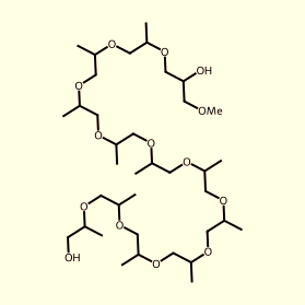 COCC(O)COC(C)COC(C)COC(C)COC(C)COC(C)COC(C)COC(C)COC(C)COC(C)COC(C)COC(C)CO